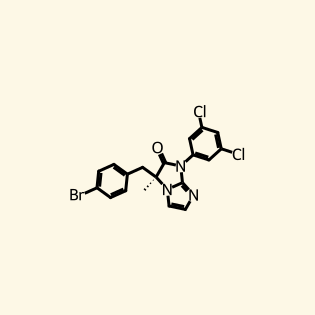 C[C@]1(Cc2ccc(Br)cc2)C(=O)N(c2cc(Cl)cc(Cl)c2)c2nccn21